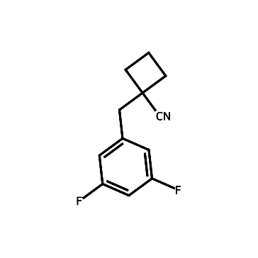 N#CC1(Cc2cc(F)cc(F)c2)CCC1